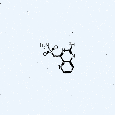 [2H]c1nc(CS(N)(=O)=O)c2ncccc2n1